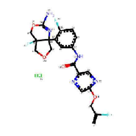 C=C(F)COc1cnc(C(=O)Nc2ccc(F)c(C34COCC3(F)COC(N)=N4)c2)cn1.Cl